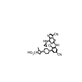 CC1C(N2CCN(c3cc(C#N)cc(Nc4nc(NC5CC5)c5ncc(C#N)n5n4)c3Cl)CC2)CN1C(=O)O